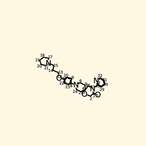 O=C1COC2(CCN(c3ccc(OCCCN4CCCCC4)cc3)CC2)CN1c1ccccn1